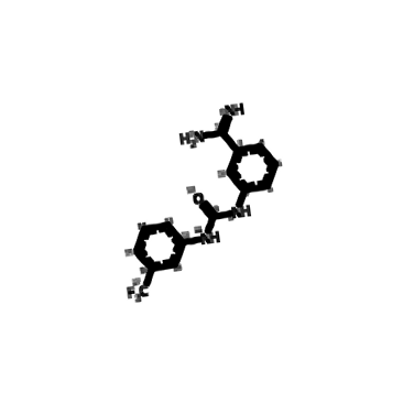 N=C(N)c1cccc(NC(=O)Nc2cccc(C(F)(F)F)c2)c1